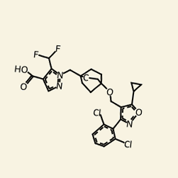 O=C(O)c1cnn(CC23CCC(OCc4c(-c5c(Cl)cccc5Cl)noc4C4CC4)(CC2)CC3)c1C(F)F